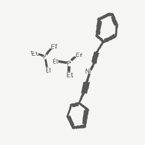 CCP(CC)CC.CCP(CC)CC.[C](#Cc1ccccc1)[Ni][C]#Cc1ccccc1